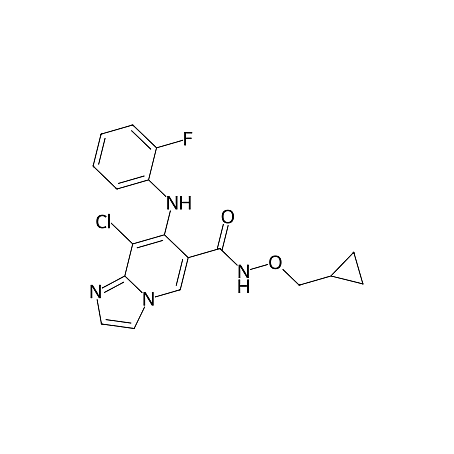 O=C(NOCC1CC1)c1cn2ccnc2c(Cl)c1Nc1ccccc1F